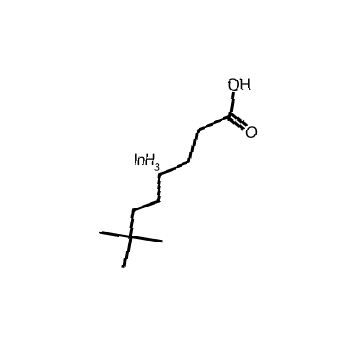 CC(C)(C)CCCCCC(=O)O.[InH3]